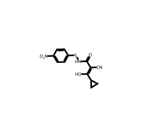 N#CC(C(=O)NSc1ccc([N+](=O)[O-])cc1)=C(O)C1CC1